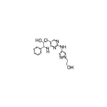 OCCn1cc(Nc2ncc(Cl)c(NC(CO)c3ccccc3)n2)cn1